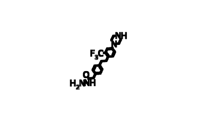 NNC(=O)Cc1ccc(CCc2ccc(N3CCNCC3)cc2C(F)(F)F)cc1